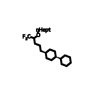 CCCCCCCOC(CCC[C@H]1CC[C@H](C2CCCCC2)CC1)C(F)(F)F